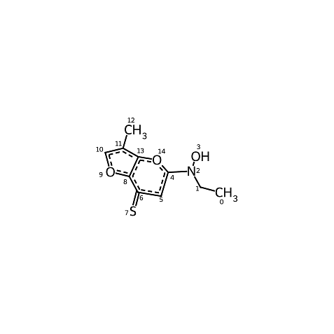 CCN(O)c1cc(=S)c2occ(C)c2o1